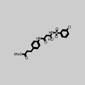 COC(=O)CCc1ccc(NC(=O)CC(O)NS(=O)(=O)c2cccc(Cl)c2)cc1